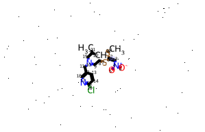 CS/C(=C/[N+](=O)[O-])SCCN(Cc1ccc(Cl)nc1)CC(C)C